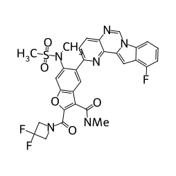 CNC(=O)c1c(C(=O)N2CC(F)(F)C2)oc2cc(N(C)S(C)(=O)=O)c(-c3ccc4ncn5c6cccc(F)c6cc5c4n3)cc12